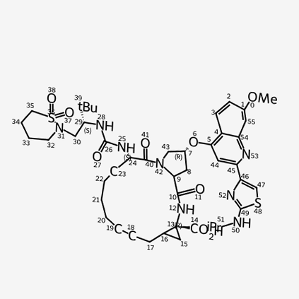 COc1ccc2c(O[C@@H]3CC4C(=O)N[C@]5(C(=O)O)CC5CCCCCCC[C@H](NC(=O)N[C@H](CN5CCCCS5(=O)=O)C(C)(C)C)C(=O)N4C3)cc(-c3csc(NC(C)C)n3)nc2c1